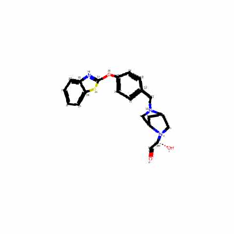 O=C[C@@H](O)N1CC2CC1CN2Cc1ccc(Oc2nc3ccccc3s2)cc1